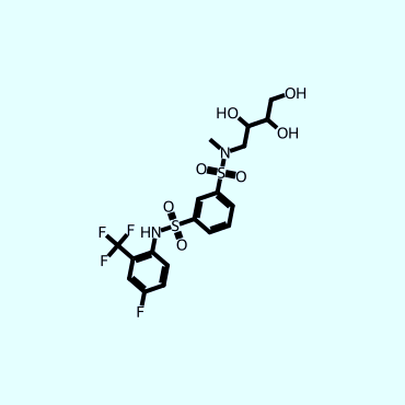 CN(CC(O)C(O)CO)S(=O)(=O)c1cccc(S(=O)(=O)Nc2ccc(F)cc2C(F)(F)F)c1